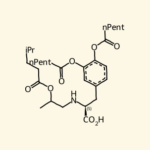 CCCCCC(=O)Oc1ccc(C[C@H](NCC(C)OC(=O)CCC(C)C)C(=O)O)cc1OC(=O)CCCCC